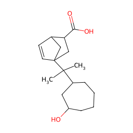 CC(C)(C1CCCCC(O)C1)C12C=CC(C1)C(C(=O)O)C2